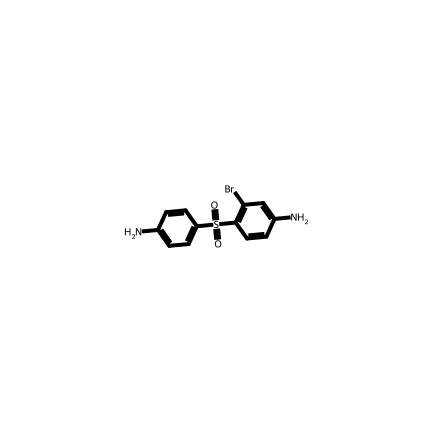 Nc1ccc(S(=O)(=O)c2ccc(N)cc2Br)cc1